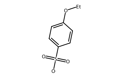 CCOc1ccc(S([O])(=O)=O)cc1